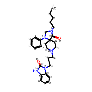 CC(=O)CCCCN1CN(c2ccccc2)C2(CCN(CCCn3c(=O)[nH]c4ccccc43)CC2)C1=O